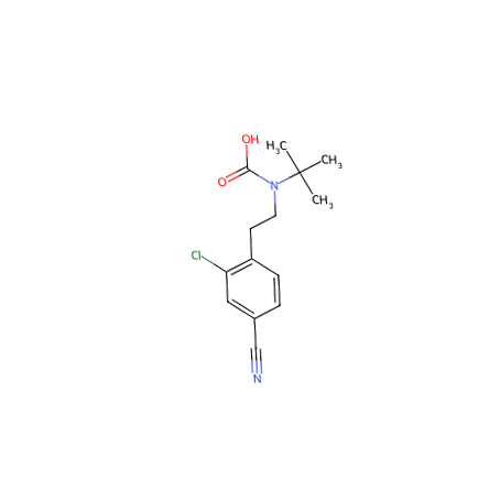 CC(C)(C)N(CCc1ccc(C#N)cc1Cl)C(=O)O